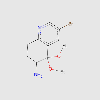 CCOC1(OCC)c2cc(Br)cnc2CCC1N